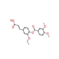 CCOc1cc(C=CC(=O)O)ccc1OC(=O)c1ccc(OC)c(OC)c1